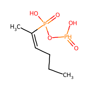 CCCC=C(C)P(=O)(O)O[PH](=O)O